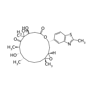 Cc1nc2cc([C@@H]3C[C@@H]4O[C@]4(C)CCC[C@H](C)[C@H](O)[C@@H](C)C(=O)C(C)(C)[C@@H](O)CC(=O)O3)ccc2s1